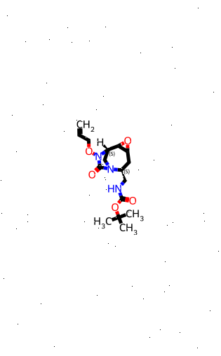 C=CCON1C(=O)N2C[C@H]1C1OC1C[C@H]2CNC(=O)OC(C)(C)C